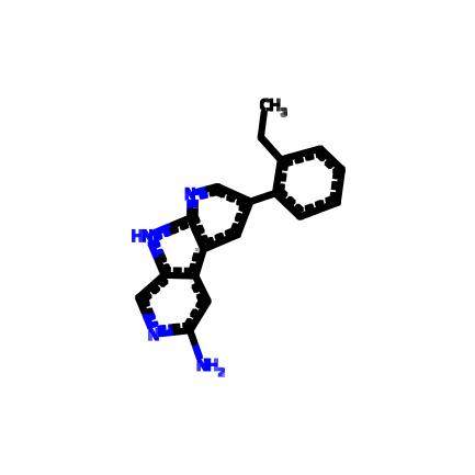 CCc1ccccc1-c1cnc2[nH]c3cnc(N)cc3c2c1